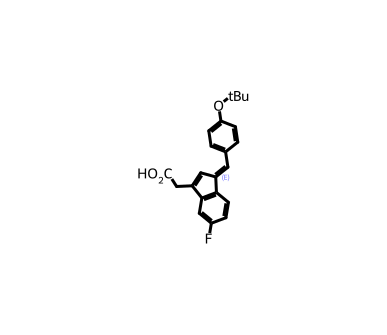 CC(C)(C)Oc1ccc(/C=C2\C=C(CC(=O)O)c3cc(F)ccc32)cc1